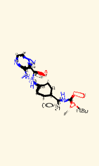 CC(C)(C)OC(=O)NC(C(=O)O)C1CCC(NC(=O)c2nccnc2N)CC1